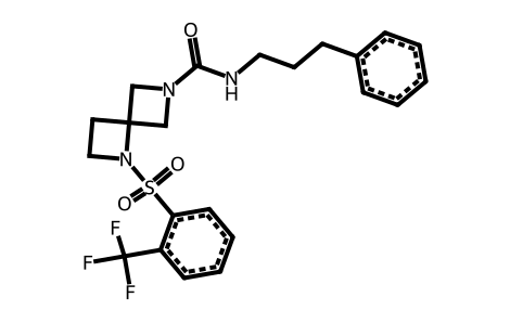 O=C(NCCCc1ccccc1)N1CC2(CCN2S(=O)(=O)c2ccccc2C(F)(F)F)C1